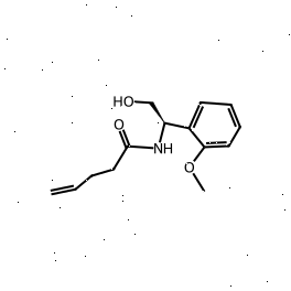 C=CCCC(=O)N[C@@H](CO)c1ccccc1OC